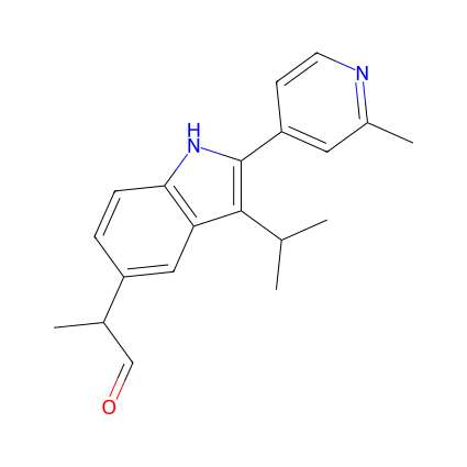 Cc1cc(-c2[nH]c3ccc(C(C)C=O)cc3c2C(C)C)ccn1